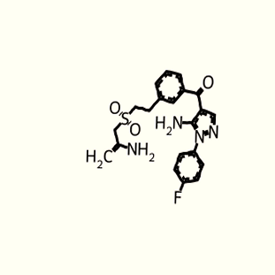 C=C(N)CS(=O)(=O)CCc1cccc(C(=O)c2cnn(-c3ccc(F)cc3)c2N)c1